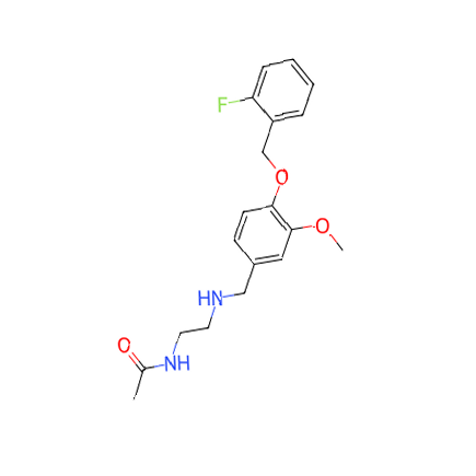 COc1cc(CNCCNC(C)=O)ccc1OCc1ccccc1F